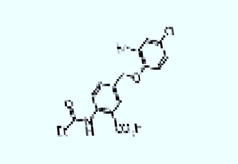 CCC(=O)Nc1ccc(COc2ccc(Cl)cc2Br)cc1C(=O)O